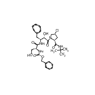 CC(C)(C)NC(=O)[C@@H]1C[C@H](Cl)CN1C(=O)[C@@H](O)[C@H](Cc1ccccc1)NC(=O)[C@H](CO)NC(=O)OCc1ccccc1